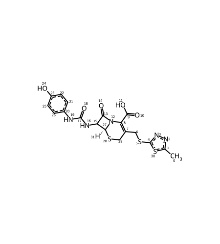 Cc1nnc(SCC2=C(C(=O)O)N3C(=O)C(NC(=O)Nc4ccc(O)cc4)[C@@H]3SC2)s1